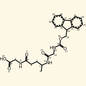 CC(CCC(=O)NCC(=O)O)NC(=O)CNC(=O)OCC1c2ccccc2-c2ccccc21